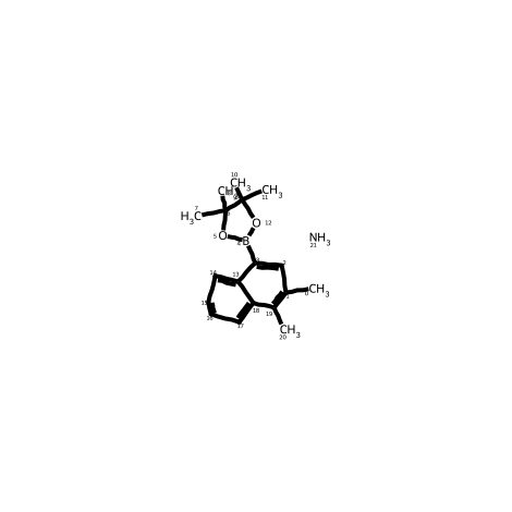 Cc1cc(B2OC(C)(C)C(C)(C)O2)c2ccccc2c1C.N